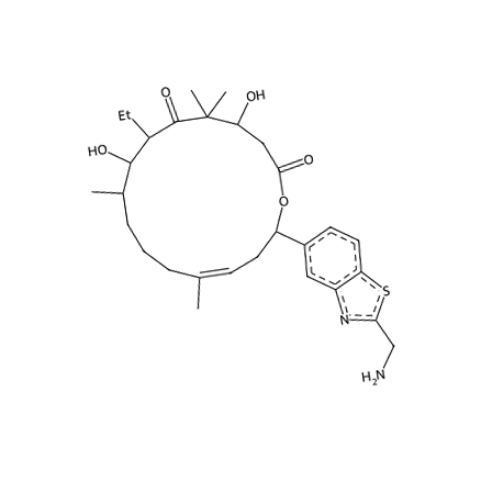 CCC1C(=O)C(C)(C)C(O)CC(=O)OC(c2ccc3sc(CN)nc3c2)CC=C(C)CCCC(C)C1O